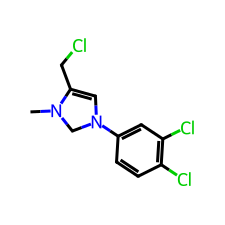 CN1CN(c2ccc(Cl)c(Cl)c2)C=C1CCl